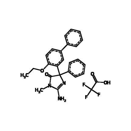 CCOc1ccc(-c2ccccc2)cc1C1(c2ccccc2)N=C(N)N(C)C1=O.O=C(O)C(F)(F)F